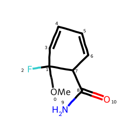 COC1(F)C=CC=CC1C(N)=O